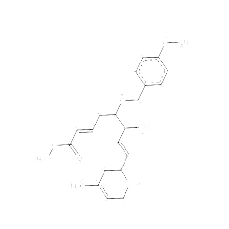 COC(=O)C=CCC(OCc1ccc(OC)cc1)C(O)C=CC1CC(C)=CCO1